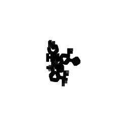 C[C@@H](NC(=O)c1cc(C23CC(C2)C3)c(F)cc1NC1CCN(C)CC1)c1cccc(C(F)F)c1F